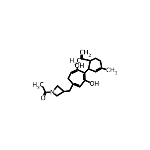 C=C(C)C1CCC(C)=CC1C1=C(O)C=C(CC2CN(C(C)=O)C2)CC=C1O